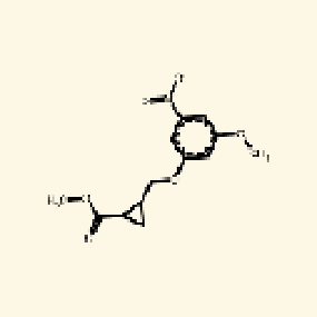 COC(=O)C1CC1COc1cc(OC)cc([N+](=O)[O-])c1